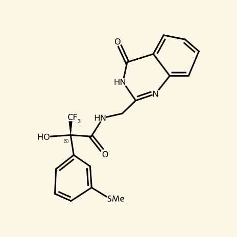 CSc1cccc([C@](O)(C(=O)NCc2nc3ccccc3c(=O)[nH]2)C(F)(F)F)c1